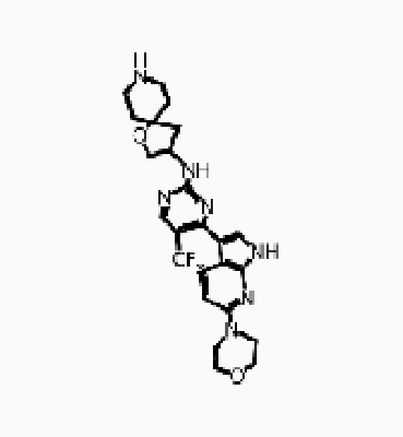 FC(F)(F)c1cnc(NC2COC3(CCNCC3)C2)nc1-c1c[nH]c2nc(N3CCOCC3)ccc12